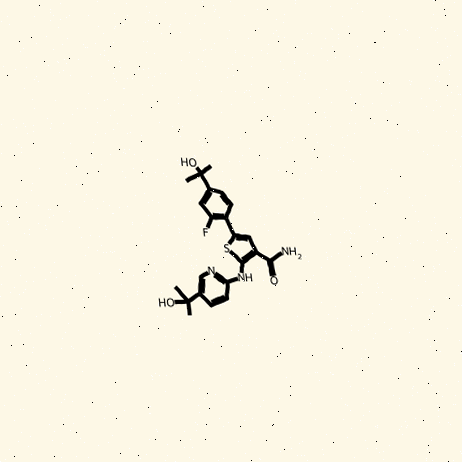 CC(C)(O)c1ccc(Nc2sc(-c3ccc(C(C)(C)O)cc3F)cc2C(N)=O)nc1